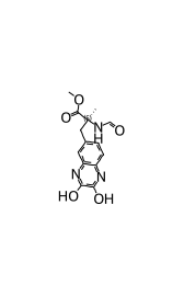 COC(=O)[C@](C)(Cc1ccc2nc(O)c(O)nc2c1)NC=O